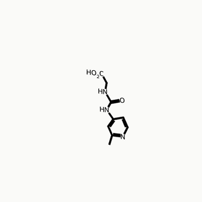 Cc1cc(NC(=O)NCC(=O)O)ccn1